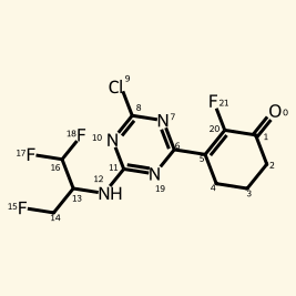 O=C1CCCC(c2nc(Cl)nc(NC(CF)C(F)F)n2)=C1F